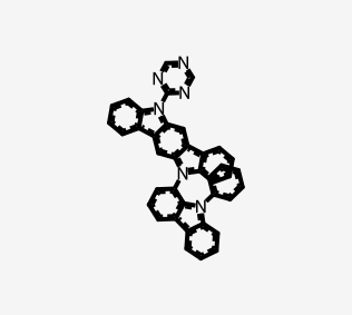 c1ccc(-n2c3ccccc3c3cccc(-n4c5ccccc5c5cc6c(cc54)c4ccccc4n6-c4ncncn4)c32)cc1